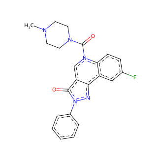 CN1CCN(C(=O)n2cc3c(=O)n(-c4ccccc4)nc-3c3cc(F)ccc32)CC1